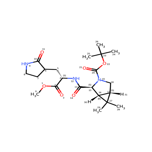 COC(=O)[C@H](CC1CCNC1=O)NC(=O)[C@@H]1[C@@H]2[C@H](CN1C(=O)OC(C)(C)C)C2(C)C